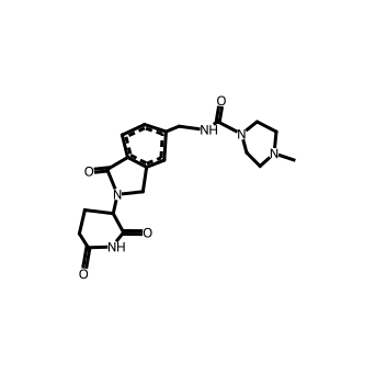 CN1CCN(C(=O)NCc2ccc3c(c2)CN(C2CCC(=O)NC2=O)C3=O)CC1